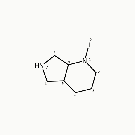 IN1CCCC2CNCC21